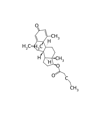 C=C1C[C@@H]2[C@H](CC[C@]3(C)[C@@H](OC(=O)CCCC)CC[C@@H]23)[C@@]2(C)C(C)=CC(=O)C=C12